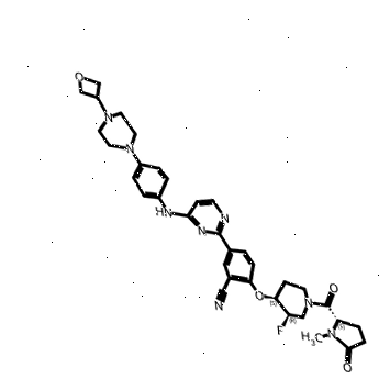 CN1C(=O)CC[C@H]1C(=O)N1CC[C@H](Oc2ccc(-c3nccc(Nc4ccc(N5CCN(C6COC6)CC5)cc4)n3)cc2C#N)[C@H](F)C1